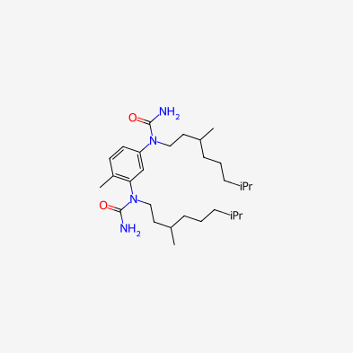 Cc1ccc(N(CCC(C)CCCC(C)C)C(N)=O)cc1N(CCC(C)CCCC(C)C)C(N)=O